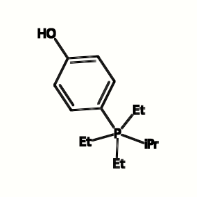 CCP(CC)(CC)(c1ccc(O)cc1)C(C)C